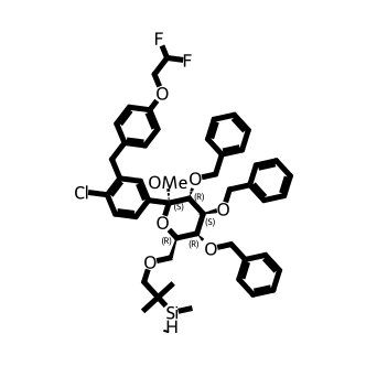 CO[C@@]1(c2ccc(Cl)c(Cc3ccc(OCC(F)F)cc3)c2)O[C@H](COCC(C)(C)[SiH](C)C)[C@@H](OCc2ccccc2)[C@H](OCc2ccccc2)[C@H]1OCc1ccccc1